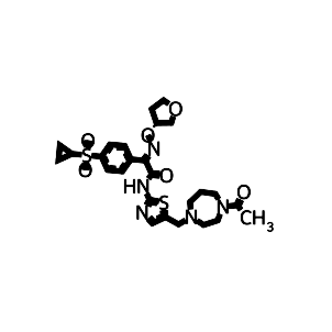 CC(=O)N1CCCN(Cc2cnc(NC(=O)/C(=N/O[C@@H]3CCOC3)c3ccc(S(=O)(=O)C4CC4)cc3)s2)CC1